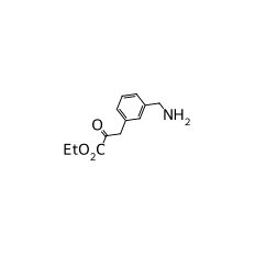 CCOC(=O)C(=O)Cc1cccc(CN)c1